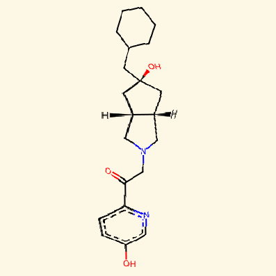 O=C(CN1C[C@@H]2C[C@](O)(CC3CCCCC3)C[C@@H]2C1)c1ccc(O)cn1